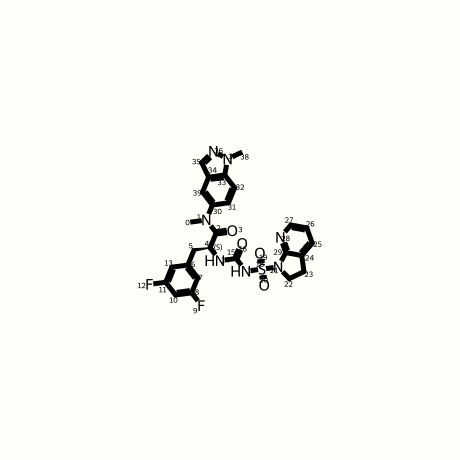 CN(C(=O)[C@H](Cc1cc(F)cc(F)c1)NC(=O)NS(=O)(=O)N1CCc2cccnc21)c1ccc2c(cnn2C)c1